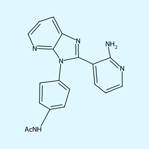 CC(=O)Nc1ccc(-n2c(-c3cccnc3N)nc3cccnc32)cc1